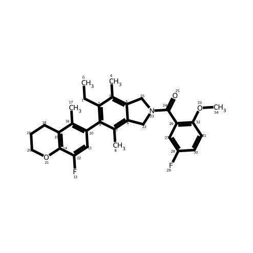 CCc1c(C)c2c(c(C)c1-c1cc(F)c3c(c1C)CCCO3)CN(C(=O)c1cc(F)ccc1OC)C2